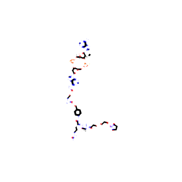 C=C[C@@H]1[C@@H]2O[P@](=O)(S)OCC3O[C@@H](n4cnc5c(NC(=O)OCCN(C)C(=O)OCc6ccc(NC(=O)[C@H](CCCNC(N)=O)NC(=O)[C@@H](NC(=O)CCOCCC(=O)ON7C(=O)CCC7=O)C(C)C)cc6)ncnc54)C[C@@H]3O[P@](=O)(S)O[C@H](C)[C@H]2O[C@H]1n1cnc2c(N)ncnc21